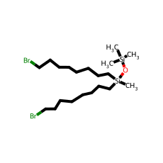 C[Si](C)(C)O[Si](C)(CCCCCCCCBr)CCCCCCCCBr